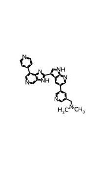 CN(C)Cc1cncc(-c2cnc3[nH]cc(-c4nc5c(-c6ccncc6)cncc5[nH]4)c3c2)c1